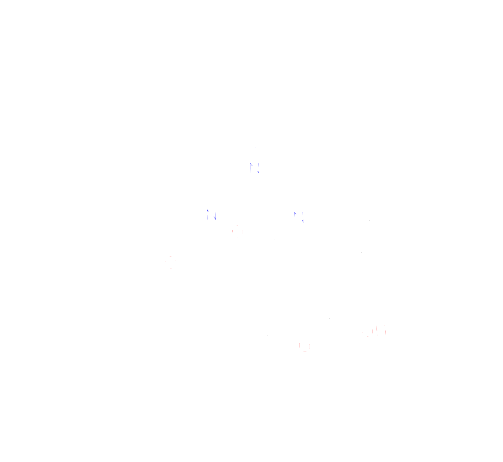 CCCCC(CC(=O)O)C(=O)N(c1nc(-c2ccccc2-c2ccc(OC)nc2)cs1)C1CC1